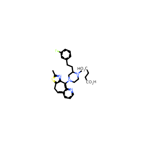 Cc1nc2c(s1)CC=c1cccnc1=C2N1CCN(C)C(CCc2cccc(F)c2)C1.O=C(O)CCC(=O)O